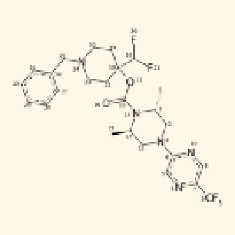 C[C@@H]1CN(c2cnc(C(F)(F)F)cn2)C[C@@H](C)N1C(=O)OC1(C(F)F)CCN(Cc2ccccc2)CC1